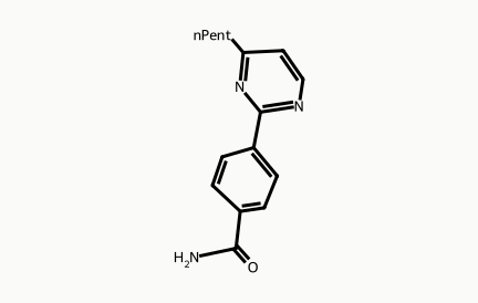 CCCCCc1ccnc(-c2ccc(C(N)=O)cc2)n1